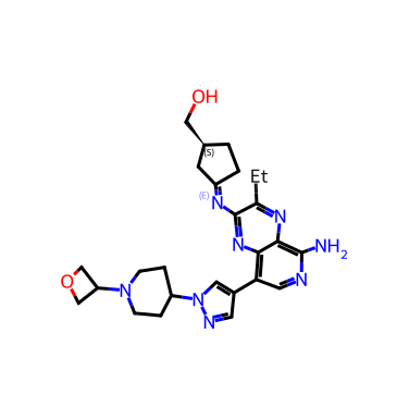 CCc1nc2c(N)ncc(-c3cnn(C4CCN(C5COC5)CC4)c3)c2nc1/N=C1\CC[C@H](CO)C1